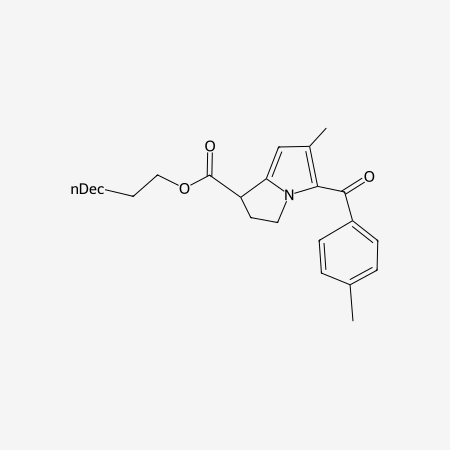 CCCCCCCCCCCCOC(=O)C1CCn2c1cc(C)c2C(=O)c1ccc(C)cc1